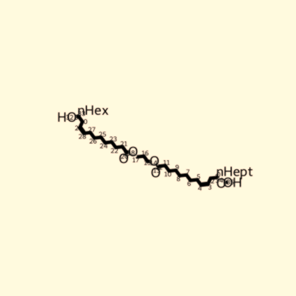 CCCCCCCC(C/C=C\CCCCCCCC(=O)OCCCOC(=O)CCCCCCC/C=C\CC(O)CCCCCC)OO